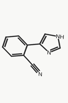 N#Cc1ccccc1-c1c[nH]cn1